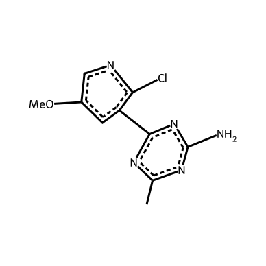 COc1cnc(Cl)c(-c2nc(C)nc(N)n2)c1